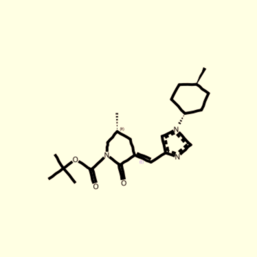 C[C@@H]1C/C(=C\c2cn([C@H]3CC[C@H](C)CC3)cn2)C(=O)N(C(=O)OC(C)(C)C)C1